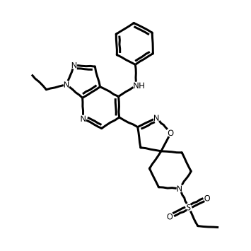 CCn1ncc2c(Nc3ccccc3)c(C3=NOC4(CCN(S(=O)(=O)CC)CC4)C3)cnc21